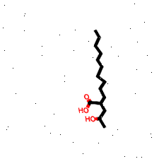 CCCCCCCCCCC(CC(C)O)C(=O)O